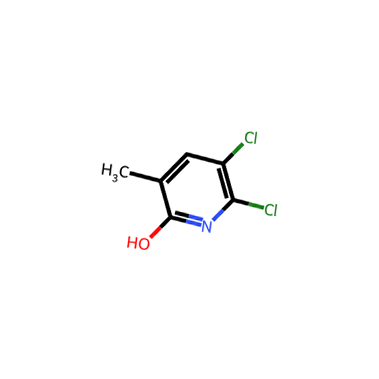 Cc1cc(Cl)c(Cl)nc1O